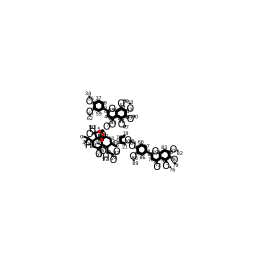 CC1(C)O[C@H]2CC(=O)OC[C@]23[C@H]2CC[C@@]4(C)[C@H](c5ccoc5)OC(=O)[C@H]5O[C@]54[C@]2(C)C(=O)C[C@@H]13.COc1ccc(-c2cc(=O)c3c(OC)c(OC)c(OC)c(OC)c3o2)cc1OC.COc1ccc(-c2cc(=O)c3c(OC)c(OC)c(OC)cc3o2)cc1OC